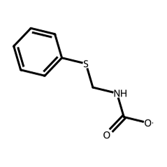 [O]C(=O)NCSc1ccccc1